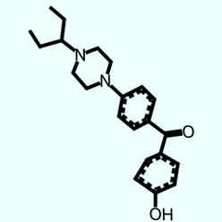 CCC(CC)N1CCN(c2ccc(C(=O)c3ccc(O)cc3)cc2)CC1